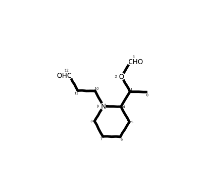 CC(OC=O)C1CCCCN1CCC=O